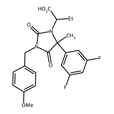 CCC(C(=O)O)N1C(=O)N(Cc2ccc(OC)cc2)C(=O)C1(C)c1cc(F)cc(F)c1